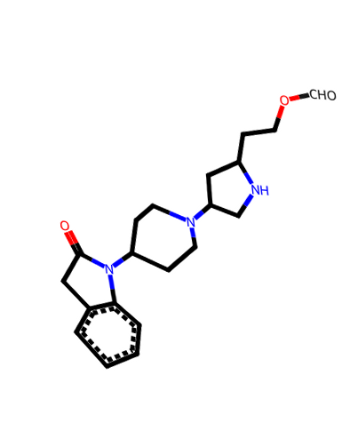 O=COCCC1CC(N2CCC(N3C(=O)Cc4ccccc43)CC2)CN1